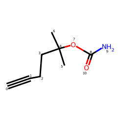 C#CCCC(C)(C)OC(N)=O